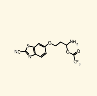 N#Cc1nc2ccc(OCCC(N)OC(=O)C(F)(F)F)cc2s1